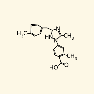 CC1=NC(Cc2ccc(C)cc2)NN1c1ccc(C(=O)O)c(C)c1